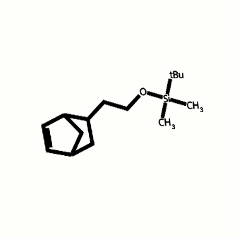 CC(C)(C)[Si](C)(C)OCCC1CC2C=CC1C2